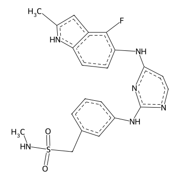 CNS(=O)(=O)Cc1cccc(Nc2nccc(Nc3ccc4[nH]c(C)cc4c3F)n2)c1